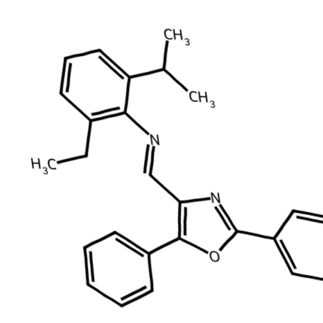 CCc1cccc(C(C)C)c1/N=C/c1nc(-c2ccccc2)oc1-c1ccccc1